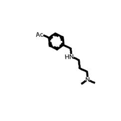 CC(=O)c1ccc(CNCCCN(C)C)cc1